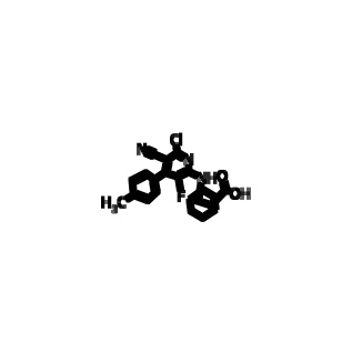 Cc1ccc(-c2c(F)c(NC3C4CCC(CC4)C3C(=O)O)nc(Cl)c2C#N)cc1